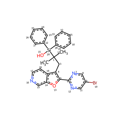 CC(C)(Cc1c(-c2ncc(Br)cn2)oc2cnccc12)[Si](O)(c1ccccc1)c1ccccc1